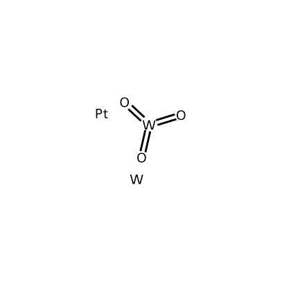 [O]=[W](=[O])=[O].[Pt].[W]